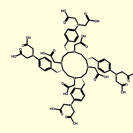 O=C(O)CN(CC(=O)O)c1ccc(C[C@H]2CN(CC(=O)O)[C@@H](Cc3ccc(N(CC(=O)O)CC(=O)O)cc3)CN(CC(=O)O)[C@@H](Cc3ccc(N(CC(=O)O)CC(=O)O)cc3)CN(CC(=O)O)[C@@H](Cc3ccc(N(CC(=O)O)CC(=O)O)cc3)CN2CC(=O)O)cc1